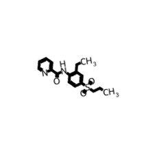 CCCS(=O)(=O)c1ccc(NC(=O)c2ccccn2)c(CC)c1